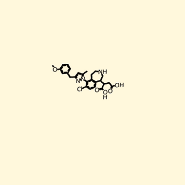 COc1cccc(Cc2cc(C)n(-c3c(Cl)ccc4c3CCNCC4C(CC(=O)O)C(=O)O)n2)c1